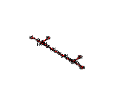 CC1=C(CCCCCCCCC(=O)NCCCC[C@H](NC(=O)CCCCCCCCC2=C(C)CCCC2(C)C)C(=O)NCCCOCCOCCOCCCNC(=O)CCOCCOCCOCCOCCOCCC(=O)NCCCOCCOCCOCCCNC(=O)[C@H](CCCCNC(=O)CCCCCCCCC2=C(C)CCCC2(C)C)NC(=O)CCCCCCCCC2=C(C)CCCC2(C)C)C(C)(C)CCC1